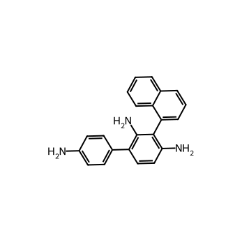 Nc1ccc(-c2ccc(N)c(-c3cccc4ccccc34)c2N)cc1